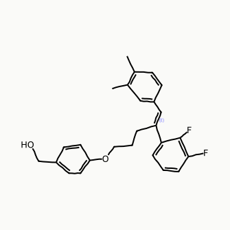 Cc1ccc(/C=C(\CCCOc2ccc(CO)cc2)c2cccc(F)c2F)cc1C